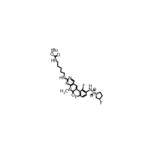 Cn1c(=O)c(-c2c(F)ccc(NS(=O)(=O)N3CC[C@@H](F)C3)c2F)cc2cnc(NCCCCCNC(=O)OC(C)(C)C)nc21